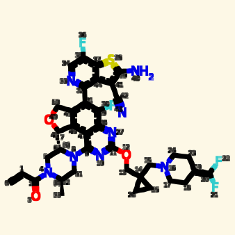 C=CC(=O)N1C[C@H](C)N(c2nc(OCC3(CN4CCC(=C(F)F)CC4)CC3)nc3c(F)c(-c4ncc(F)c5sc(N)c(C#N)c45)c4c(c23)COC4)C[C@H]1C